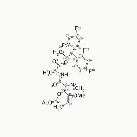 C=N/C(C(=O)N[C@@H](C)C(=O)O[C@@H](C)C(c1ccc(F)cc1F)c1ccc(F)cc1F)=C(OCOC(C)=O)\C(=C/C)OC